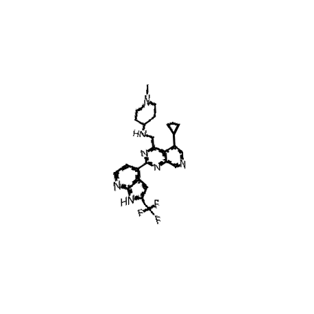 CN1CCC(NCc2nc(-c3ccnc4[nH]c(C(F)(F)F)cc34)nc3cncc(C4CC4)c23)CC1